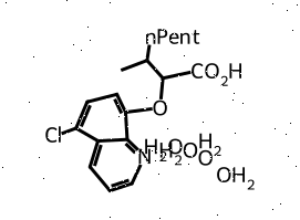 CCCCCC(C)C(Oc1ccc(Cl)c2cccnc12)C(=O)O.O.O.O.O